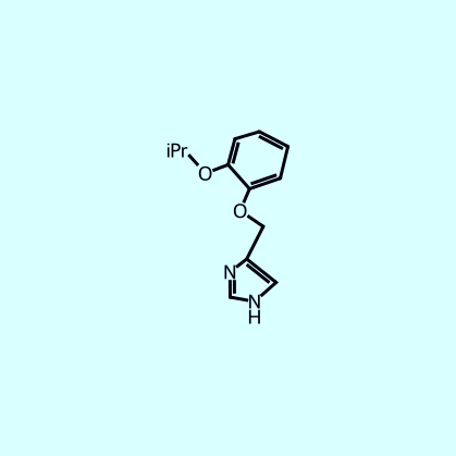 CC(C)Oc1ccccc1OCc1c[nH]cn1